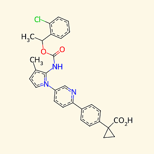 Cc1ccn(-c2ccc(-c3ccc(C4(C(=O)O)CC4)cc3)nc2)c1NC(=O)OC(C)c1ccccc1Cl